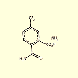 N.NC(=O)c1ccc(C(F)(F)F)cc1C(=O)O